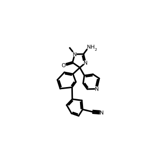 CN1C(=O)C(c2ccncc2)(c2cccc(-c3cccc(C#N)c3)c2)N=C1N